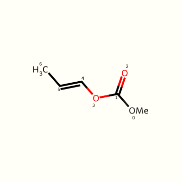 [CH2]OC(=O)OC=CC